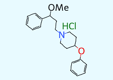 COC(CCN1CCC(Oc2ccccc2)CC1)c1ccccc1.Cl